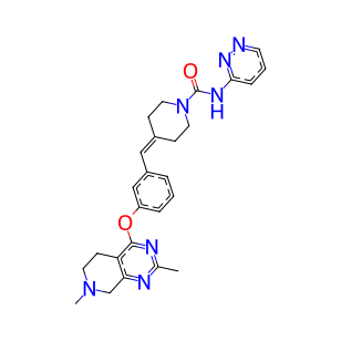 Cc1nc2c(c(Oc3cccc(C=C4CCN(C(=O)Nc5cccnn5)CC4)c3)n1)CCN(C)C2